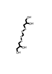 OCC(O)CSSCSSCC(O)CO